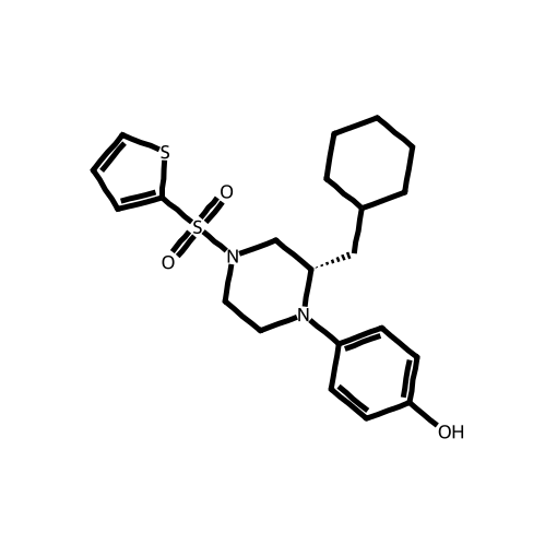 O=S(=O)(c1cccs1)N1CCN(c2ccc(O)cc2)[C@@H](CC2CCCCC2)C1